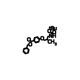 CC(CNC(=O)OC(C)(C)C)COc1ccc(C(=O)OCc2ccccc2)cc1